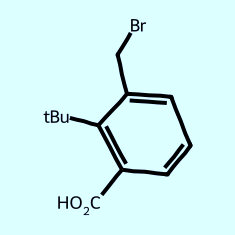 CC(C)(C)c1c(CBr)cccc1C(=O)O